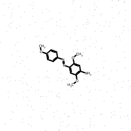 COc1ccc(N=Nc2cc(OC)c(N)cc2OC)cc1